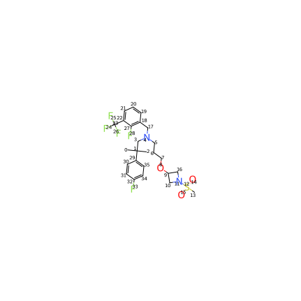 CC(C)(CN(CCCOC1CN(S(C)(=O)=O)C1)Cc1cccc(C(F)(F)F)c1F)c1ccc(F)cc1